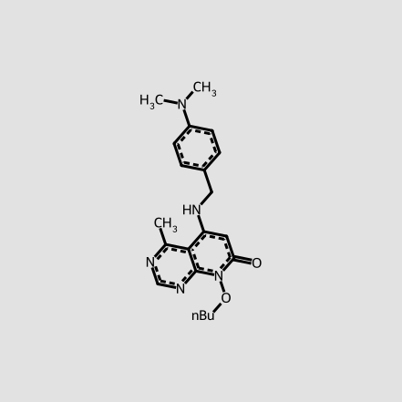 CCCCOn1c(=O)cc(NCc2ccc(N(C)C)cc2)c2c(C)ncnc21